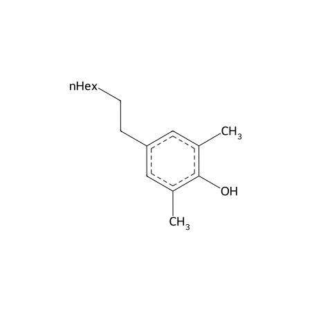 CCCCCCCCc1cc(C)c(O)c(C)c1